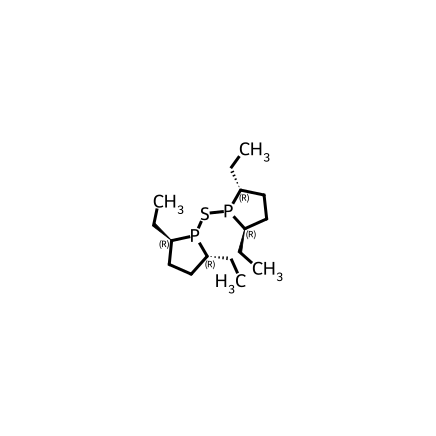 CC[C@@H]1CC[C@@H](CC)P1SP1[C@H](CC)CC[C@H]1CC